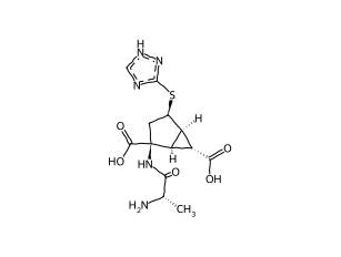 C[C@H](N)C(=O)N[C@@]1(C(=O)O)C[C@@H](Sc2nc[nH]n2)[C@H]2[C@H](C(=O)O)[C@H]21